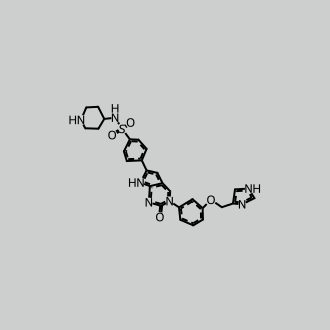 O=c1nc2[nH]c(-c3ccc(S(=O)(=O)NC4CCNCC4)cc3)cc2cn1-c1cccc(OCc2c[nH]cn2)c1